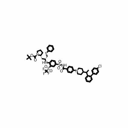 CC(c1ccccc1-c1ccc(Cl)cc1)C1CCN(c2ccc(C(=O)NS(=O)(=O)c3ccc(N[C@@H](CSc4ccccc4)C[C@H]4CCCN4C(=O)OC(C)(C)C)c(S(=O)(=O)C(F)(F)F)c3)cc2)CC1